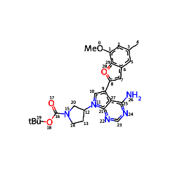 COc1cc(C)cc2cc(-c3cn(C4CCN(C(=O)OC(C)(C)C)C4)c4ncnc(N)c34)oc12